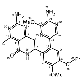 COc1cc(C2Cc3nc(N)nc(C)c3C(=O)N2)c(-c2cnc(N)c(OC)n2)cc1OC(C)C